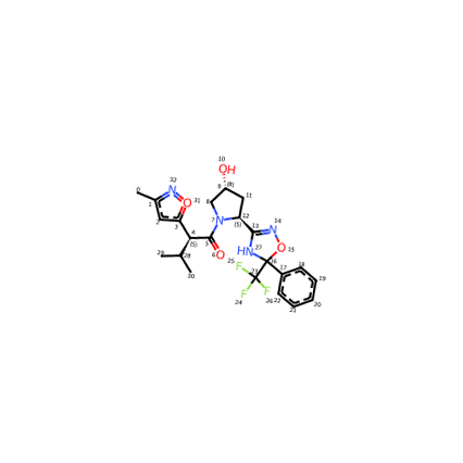 Cc1cc([C@@H](C(=O)N2C[C@H](O)C[C@H]2C2=NOC(c3ccccc3)(C(F)(F)F)N2)C(C)C)on1